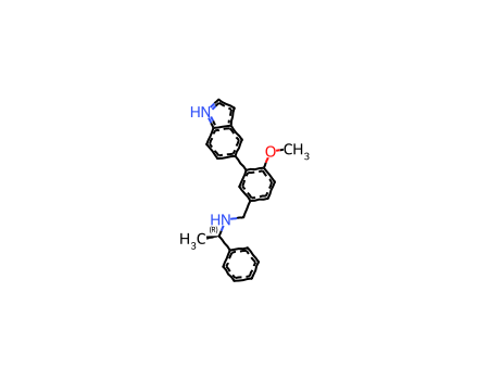 COc1ccc(CN[C@H](C)c2ccccc2)cc1-c1ccc2[nH]ccc2c1